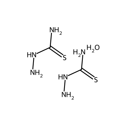 NNC(N)=S.NNC(N)=S.O